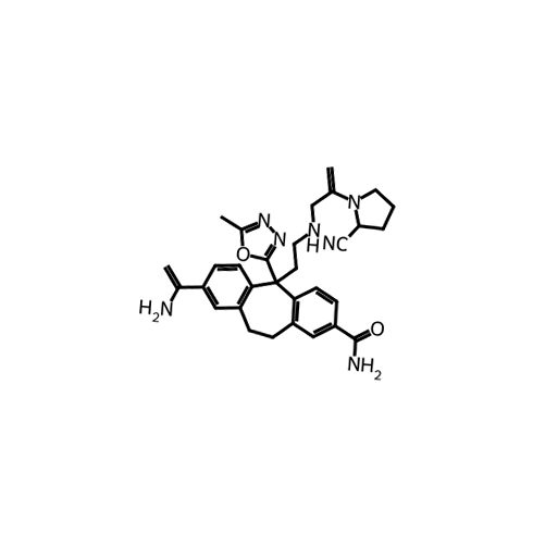 C=C(N)c1ccc2c(c1)CCc1cc(C(N)=O)ccc1C2(CCNCC(=C)N1CCCC1C#N)c1nnc(C)o1